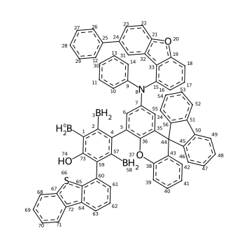 Bc1c(B)c(-c2cc(N(c3ccccc3)c3cccc4oc5ccc(-c6ccccc6)cc5c34)cc3c2Oc2ccccc2C32c3ccccc3-c3ccccc32)c(B)c(-c2cccc3c2sc2ccccc23)c1O